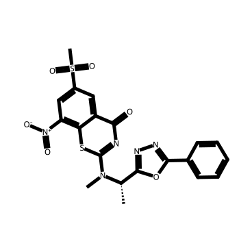 C[C@@H](c1nnc(-c2ccccc2)o1)N(C)c1nc(=O)c2cc(S(C)(=O)=O)cc([N+](=O)[O-])c2s1